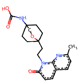 Cc1ccc2ccc(=O)n(CCC34CCC(NC(=O)O)(CC3)CO4)c2n1